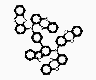 c1ccc2c(c1)Oc1ccc(N(c3cc(-c4ccc(N(c5cccc6c5Sc5ccccc5S6)c5cccc6c5Sc5ccccc5S6)cc4)c4c(c3)oc3ccccc34)c3cccc4c3Oc3ccccc3O4)cc1O2